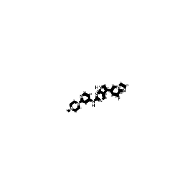 CN1CCN(c2cc(Nc3ncc4c(-c5cc(F)c6nccn6c5)c[nH]c4n3)ccn2)CC1